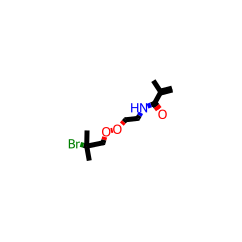 C=C(C)C(=O)NCCOOCC(C)(C)Br